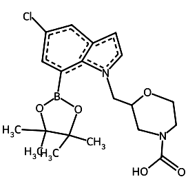 CC1(C)OB(c2cc(Cl)cc3ccn(CC4CN(C(=O)O)CCO4)c23)OC1(C)C